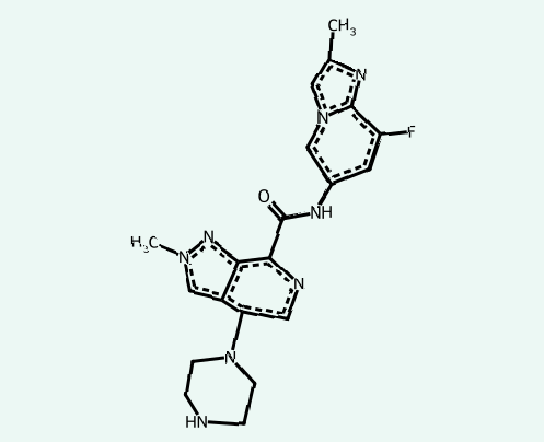 Cc1cn2cc(NC(=O)c3ncc(N4CCNCC4)c4cn(C)nc34)cc(F)c2n1